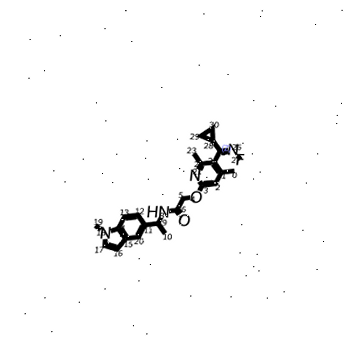 Cc1cc(OCC(=O)NC(C)c2ccc3c(ccn3C)c2)nc(C)c1/C(=N\F)C1CC1